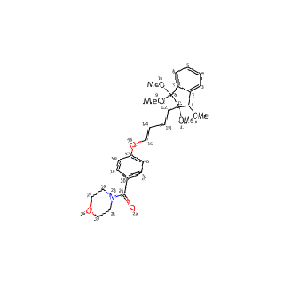 COC1c2ccccc2C(OC)(OC)C1(CCCCOc1ccc(C(=O)N2CCOCC2)cc1)OC